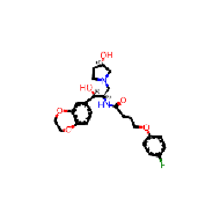 O=C(CCCOc1ccc(F)cc1)N[C@H](CN1CC[C@H](O)C1)[C@H](O)c1ccc2c(c1)OCCO2